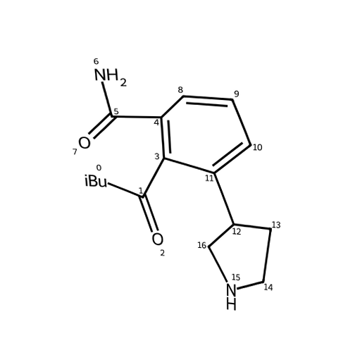 CCC(C)C(=O)c1c(C(N)=O)cccc1C1CCNC1